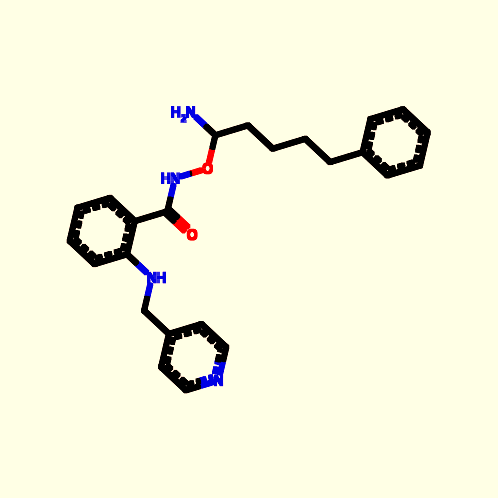 NC(CCCCc1ccccc1)ONC(=O)c1ccccc1NCc1ccncc1